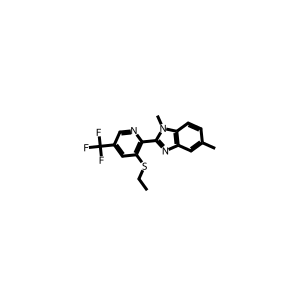 CCSc1cc(C(F)(F)F)cnc1-c1nc2cc(C)ccc2n1C